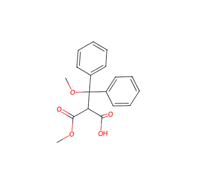 COC(=O)C(C(=O)O)C(OC)(c1ccccc1)c1ccccc1